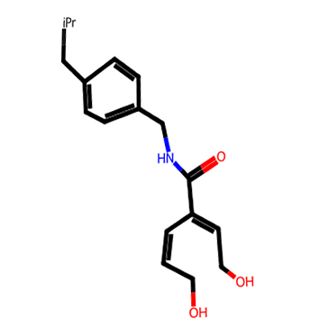 CC(C)Cc1ccc(CNC(=O)C(/C=C\CO)=C/CO)cc1